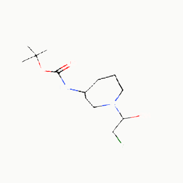 CC(C)(C)OC(=O)NC1CCCN(C(O)CCl)C1